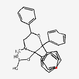 CN1CC(c2ccccc2)OC(c2ccccc2)(c2ccccc2)C1(OB(O)O)c1ccccc1